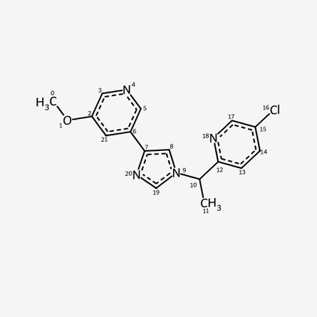 COc1cncc(-c2cn(C(C)c3ccc(Cl)cn3)cn2)c1